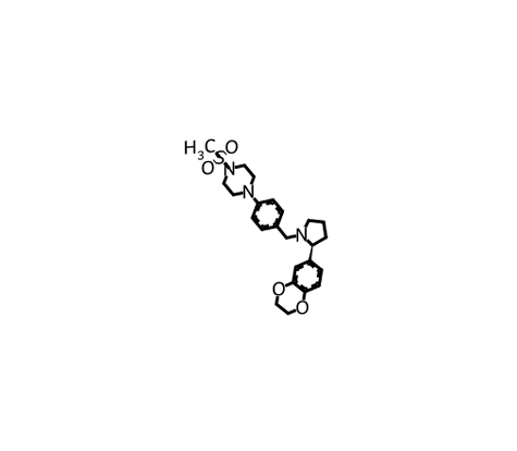 CS(=O)(=O)N1CCN(c2ccc(CN3CCC[C@H]3c3ccc4c(c3)OCCO4)cc2)CC1